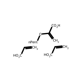 C=C(OCCCCC)C(=O)O.C=CC(=O)O.C=CC(=O)O